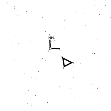 C1CC1.CON